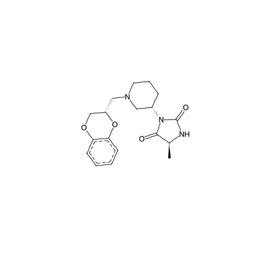 C[C@@H]1NC(=O)N([C@H]2CCCN(C[C@H]3COc4ccccc4O3)C2)C1=O